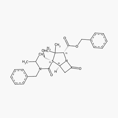 CC(C)N(Cc1ccccc1)C(=O)[S@]1(CO)[C@@H]2CC(=O)N2[C@@H](C(=O)OCc2ccccc2)C1(C)C